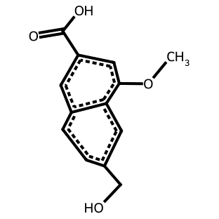 COc1cc(C(=O)O)cc2ccc(CO)cc12